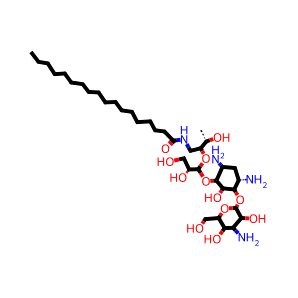 CCCCCCCCCCCCCCCCCC(=O)NCC(OC(OC1C(N)C[C@H](N)C(OC2OC(CO)C(O)C(N)C2O)C1O)[C@@H](O)CO)[C@H](C)O